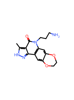 Cc1[nH]nc2c1c(=O)n(CCCN)c1cc3c(cc21)OCCO3